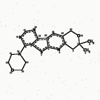 CC1(C)Cc2nc3sc4c(N5CCOCC5)ncnc4c3cc2CO1